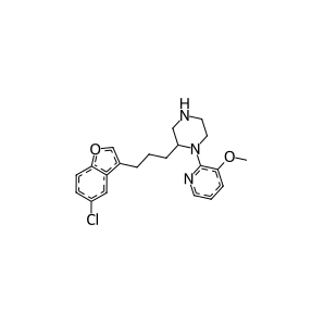 COc1cccnc1N1CCNCC1CCCc1coc2ccc(Cl)cc12